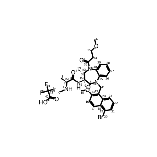 CN[C@@H](C)C(=O)N[C@@H]1C(=O)N(Cc2c(OC)ccc3c(Br)cccc23)c2ccccc2N(C(=O)CCOC)[C@H]1C.O=C(O)C(F)(F)F